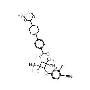 COC(OC)C1CCN(c2ccc(C(=O)N[C@H]3C(C)(C)[C@H](Oc4ccc(C#N)c(Cl)c4)C3(C)C)cc2)CC1